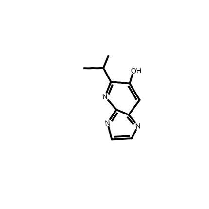 CC(C)c1nc2nccnc2cc1O